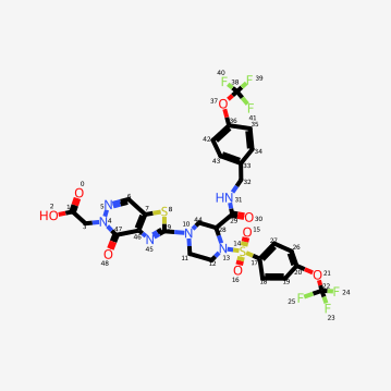 O=C(O)Cn1ncc2sc(N3CCN(S(=O)(=O)c4ccc(OC(F)(F)F)cc4)C(C(=O)NCc4ccc(OC(F)(F)F)cc4)C3)nc2c1=O